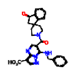 O=C1CC2(CCN(C(=O)c3cnc4c(C(=O)O)cnn4c3NCc3ccccc3)CC2)c2ccccc21